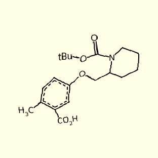 Cc1ccc(OCC2CCCCN2C(=O)OC(C)(C)C)cc1C(=O)O